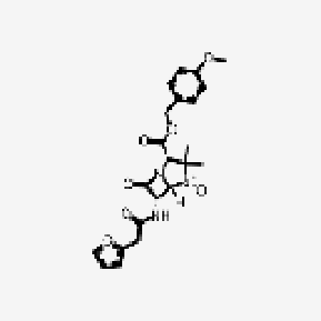 COc1ccc(COC(=O)[C@@H]2N3C(=O)[C@@H](NC(=O)Cc4ccco4)[C@H]3[S@@+]([O-])C2(C)C)cc1